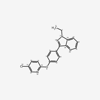 CCn1nc(-c2ccc(Oc3ccc(Cl)cn3)cc2)c2ncccc21